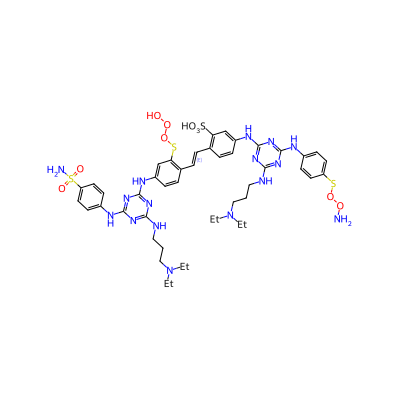 CCN(CC)CCCNc1nc(Nc2ccc(S(N)(=O)=O)cc2)nc(Nc2ccc(/C=C/c3ccc(Nc4nc(NCCCN(CC)CC)nc(Nc5ccc(SOON)cc5)n4)cc3S(=O)(=O)O)c(SOOO)c2)n1